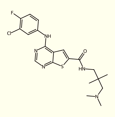 CN(C)CC(C)(C)CNC(=O)c1cc2c(Nc3ccc(F)c(Cl)c3)ncnc2s1